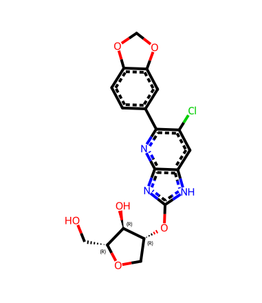 OC[C@H]1OC[C@@H](Oc2nc3nc(-c4ccc5c(c4)OCO5)c(Cl)cc3[nH]2)[C@@H]1O